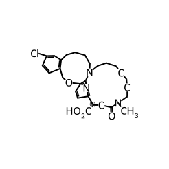 CN1CCCCCCCN2CCCCc3cc(Cl)ccc3COc3ccc(nc32)[C@H](C(=O)O)CC1=O